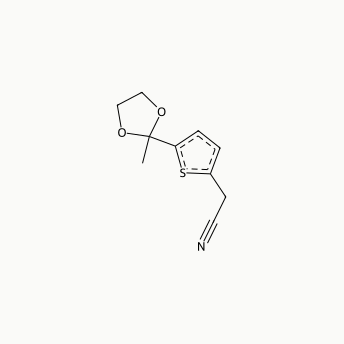 CC1(c2ccc(CC#N)s2)OCCO1